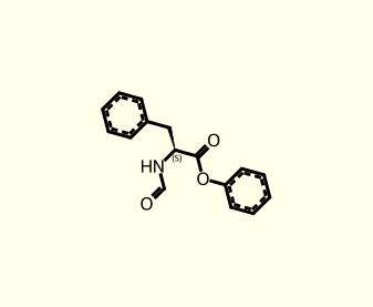 O=CN[C@@H](Cc1ccccc1)C(=O)Oc1ccccc1